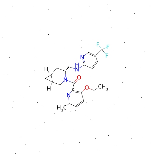 CCOc1ccc(C)nc1C(=O)N1C[C@H]2C[C@H]2C[C@H]1CNc1ccc(C(F)(F)F)cn1